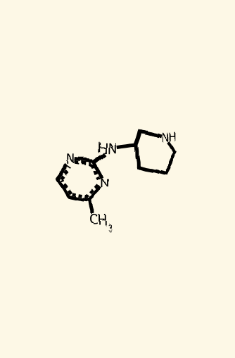 Cc1ccnc(NC2CCCNC2)n1